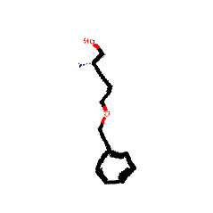 OC[C@@H](I)CCOCc1ccccc1